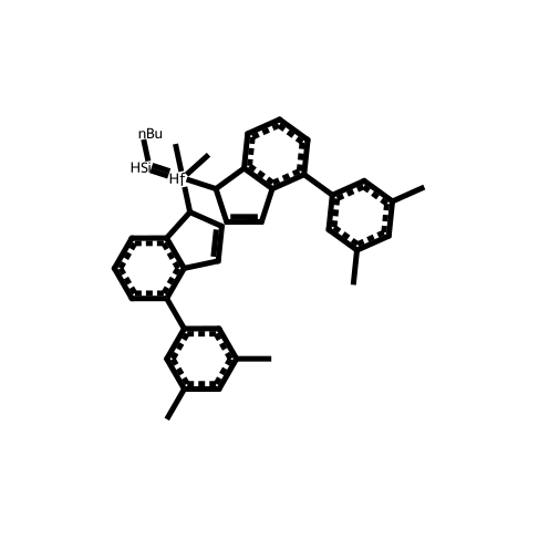 CCCC[SiH]=[Hf]([CH3])([CH3])([CH]1C=Cc2c(-c3cc(C)cc(C)c3)cccc21)[CH]1C=Cc2c(-c3cc(C)cc(C)c3)cccc21